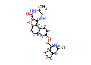 CC1CNc2c(oc3ccc4nc(OCc5nc(Cl)nc6c5COC6)ccc4c23)C(=O)N1